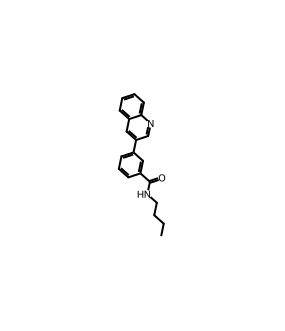 CCCCNC(=O)c1cccc(-c2cnc3ccccc3c2)c1